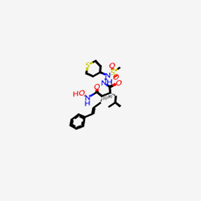 CC(C)C[C@@H](C(=O)NN(C1CCSCC1)S(C)(=O)=O)[C@H](CC=Cc1ccccc1)C(=O)NO